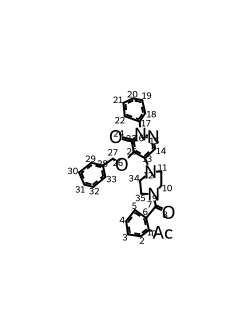 CC(=O)c1ccccc1C(=O)N1CCN(c2cnn(-c3ccccc3)c(=O)c2OCc2ccccc2)CC1